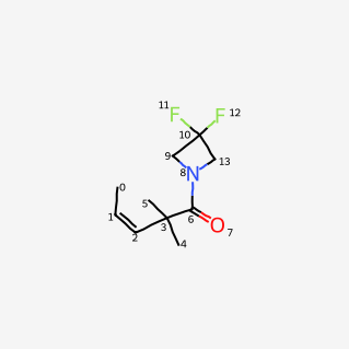 C/C=C\C(C)(C)C(=O)N1CC(F)(F)C1